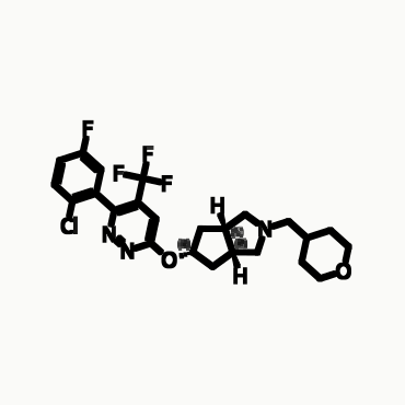 Fc1ccc(Cl)c(-c2nnc(O[C@@H]3C[C@@H]4CN(CC5CCOCC5)C[C@@H]4C3)cc2C(F)(F)F)c1